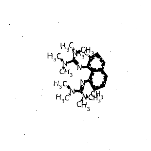 Cc1ccc2ccc(C)c(N=C(N(C)C)N(C)C)c2c1N=C(N(C)C)N(C)C